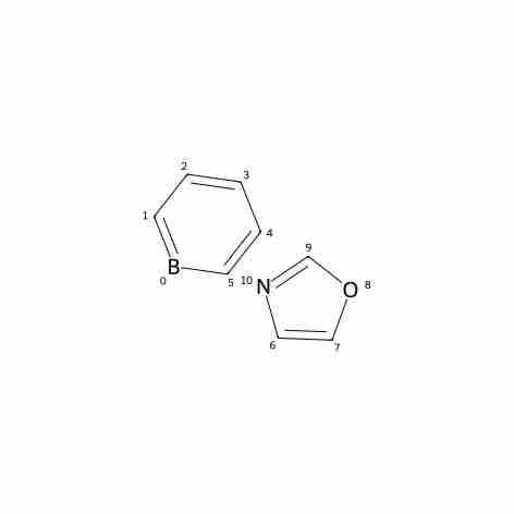 b1ccccc1.c1cocn1